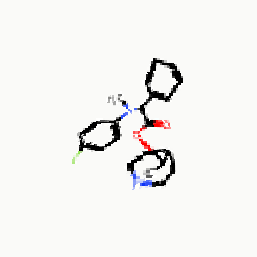 CN(c1ccc(F)cc1)[C@@H](C(=O)OC1CN2CCC1CC2)c1ccccc1